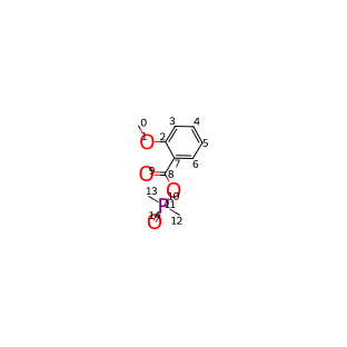 COc1ccccc1C(=O)OP(C)(C)=O